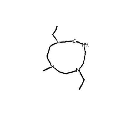 CCN1CCNCCN(CC)CCN(C)CC1